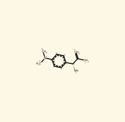 C=C(C)[C@H](CCC)c1ccc(N(C)C)cc1